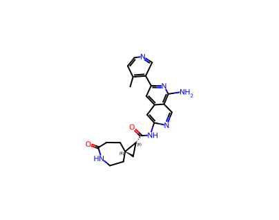 Cc1ccncc1-c1cc2cc(NC(=O)[C@@H]3C[C@]34CCNC(=O)CC4)ncc2c(N)n1